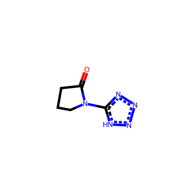 O=C1CCCN1c1nnn[nH]1